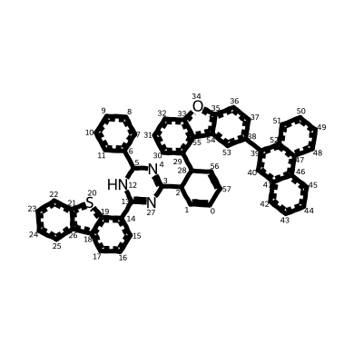 C1=CC(C2=NC(c3ccccc3)NC(c3cccc4c3sc3ccccc34)=N2)C(c2cccc3oc4ccc(-c5cc6ccccc6c6ccccc56)cc4c23)C=C1